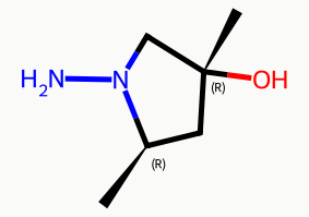 C[C@@H]1C[C@@](C)(O)CN1N